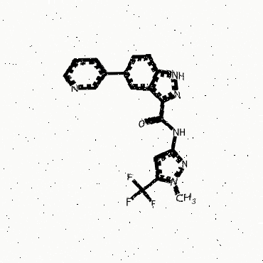 Cn1nc(NC(=O)c2n[nH]c3ccc(-c4cccnc4)cc23)cc1C(F)(F)F